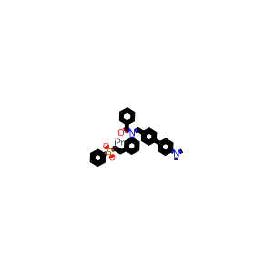 CC(C)C(=Cc1cccc(N(Cc2ccc(-c3ccc(N(C)C)cc3)cc2)C(=O)C2CCCCC2)c1)S(=O)(=O)c1ccccc1